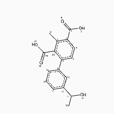 Cc1c(C(=O)O)ccc(-c2cccc(C(C)O)c2)c1C(=O)O